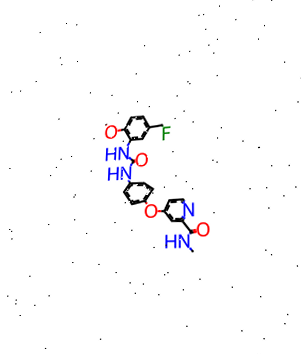 CNC(=O)c1cc(Oc2ccc(NC(=O)Nc3cc(CF)ccc3OC)cc2)ccn1